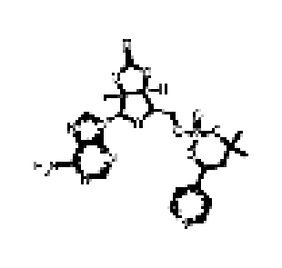 CC1(C)CC(c2ccncc2)OP(=O)(OC[C@H]2O[C@@H](n3cnc4c(N)ncnc43)[C@]3(C)OC(=O)O[C@H]23)O1